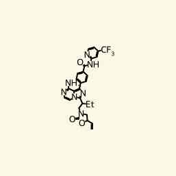 C=CC1CN(CC(CC)c2nc(-c3ccc(C(=O)Nc4cc(C(F)(F)F)ccn4)cc3)c3c(N)nccn23)C(=O)O1